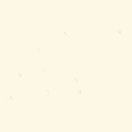 CN(C)c1ccc2c(=O)n(C3CCCN(c4cnc(C(N)=O)c(Nc5cnn(C)c5)n4)C3)ccc2c1